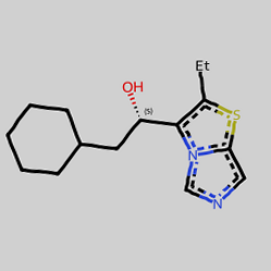 CCc1sc2cncn2c1[C@@H](O)CC1CCCCC1